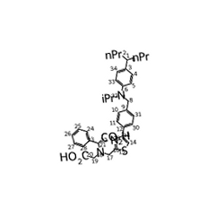 CCCC(CCC)c1ccc(N(Cc2ccc(-c3csc(CN(CC(=O)O)C(C(=O)O)c4ccccc4)n3)cc2)C(C)C)cc1